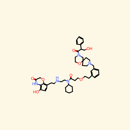 O=C1COc2c(CCNCCN(C(=O)CCOCCc3cccc(CN4CCC5(CC4)CN(C(=O)C(CO)c4ccccc4)CCO5)c3)C3CCCCC3)ccc(O)c2N1